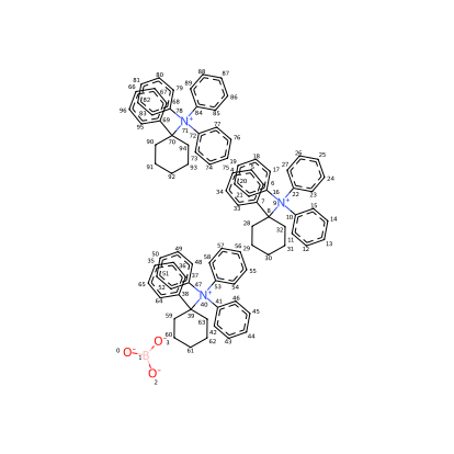 [O-]B([O-])[O-].c1ccc(C2([N+](c3ccccc3)(c3ccccc3)c3ccccc3)CCCCC2)cc1.c1ccc(C2([N+](c3ccccc3)(c3ccccc3)c3ccccc3)CCCCC2)cc1.c1ccc(C2([N+](c3ccccc3)(c3ccccc3)c3ccccc3)CCCCC2)cc1